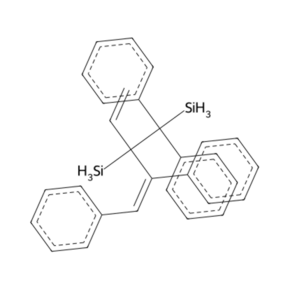 C=CC([SiH3])(C(=Cc1ccccc1)c1ccccc1)C([SiH3])(c1ccccc1)c1ccccc1